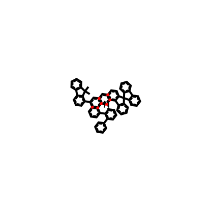 CC1(C)c2ccccc2-c2cccc(-c3ccc(N(c4cccc(-c5ccccc5)c4-c4ccccc4-c4ccccc4)c4cccc5c4-c4ccccc4C54c5ccccc5-c5ccccc54)cc3)c21